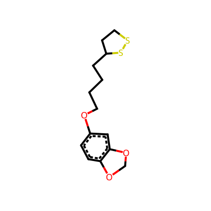 c1cc2c(cc1OCCCCC1CCSS1)OCO2